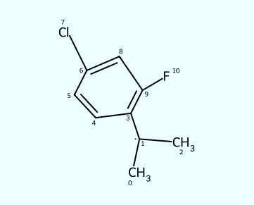 C[C](C)c1ccc(Cl)cc1F